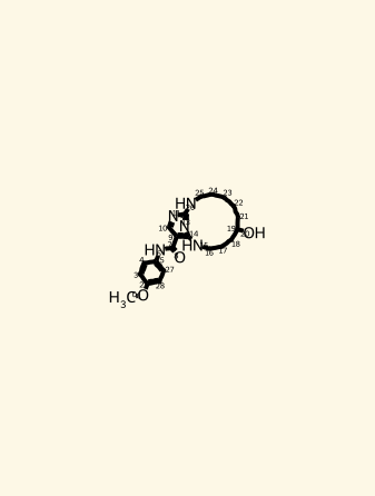 COc1ccc(NC(=O)c2cnc3nc2NCCCC(O)CCCCCN3)cc1